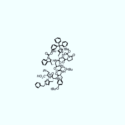 CC(C)C[C@H](NC(=O)[C@@H](Cc1cn(Cc2ccccc2)cn1)NC(=O)[C@H](Cc1ccc(OC(C)(C)C)cc1)NC(=O)[C@H](COC(C)(C)C)NC(=O)[C@H](Cc1cn(C(=O)OC(C)(C)C)c2ccccc12)NC(=O)[C@H](Cc1cn(C(c2ccccc2)(c2ccccc2)c2ccccc2)cn1)NC(=O)[C@@H]1CCC(=O)N1C(=O)OC(C)(C)C)C(=O)O